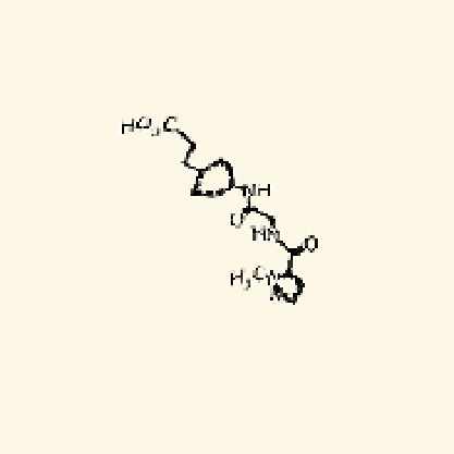 Cn1nccc1C(=O)NCC(=O)Nc1ccc(CCC(=O)O)cc1